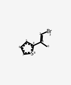 CC(=CBr)c1cccs1